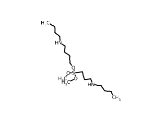 CCCCNCCCCO[Si](CCCNCCCC)(OC)OC